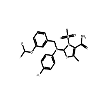 CC1=C(C(N)=O)N(S(C)(=O)=O)C(N(Cc2cccc(OC(F)F)c2)c2ccc(C#N)cc2)S1